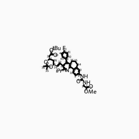 COC(=O)CNC(=O)Nc1ccc2c(c1)CCCc1c-2nc(C(C)C)c(/C=C/[C@@H]2C[C@H](CC(=O)OC(C)(C)C)OC(C)(C)O2)c1-c1ccc(F)cc1